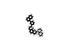 c1cc(-c2ccc3ccc4ccc(N5CCCN6CCCN=C65)nc4c3n2)cc(-c2cccc3ccccc23)c1